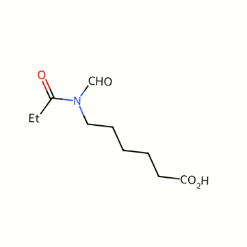 CCC(=O)N(C=O)CCCCCC(=O)O